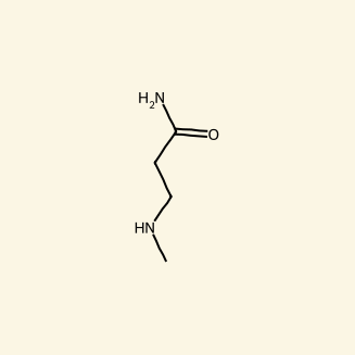 CNCCC(N)=O